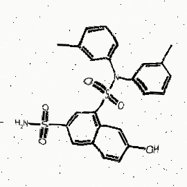 Cc1cccc(N(c2cccc(C)c2)S(=O)(=O)c2cc(S(N)(=O)=O)cc3ccc(O)cc23)c1